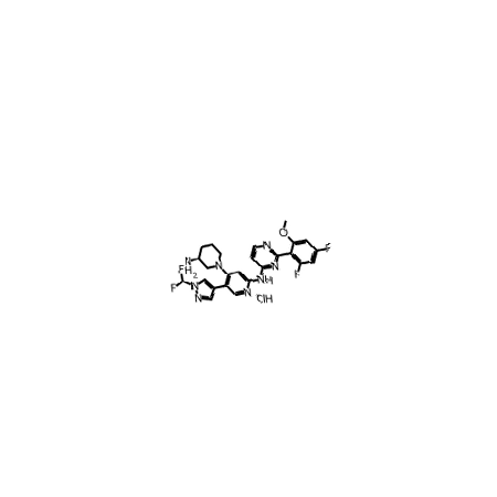 COc1cc(F)cc(F)c1-c1nccc(Nc2cc(N3CCC[C@H](N)C3)c(-c3cnn(C(F)F)c3)cn2)n1.Cl